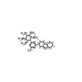 Bc1c(B)c(B)c(-c2nc(Cl)nc(-c3ccc4c(c3)oc3ccccc34)n2)c(B)c1B